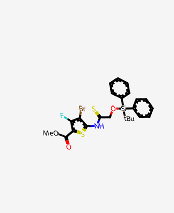 COC(=O)c1sc(NC(=S)CO[Si](c2ccccc2)(c2ccccc2)C(C)(C)C)c(Br)c1F